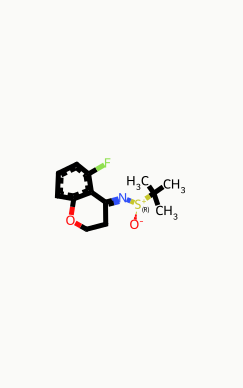 CC(C)(C)[S@+]([O-])N=C1CCOc2cccc(F)c21